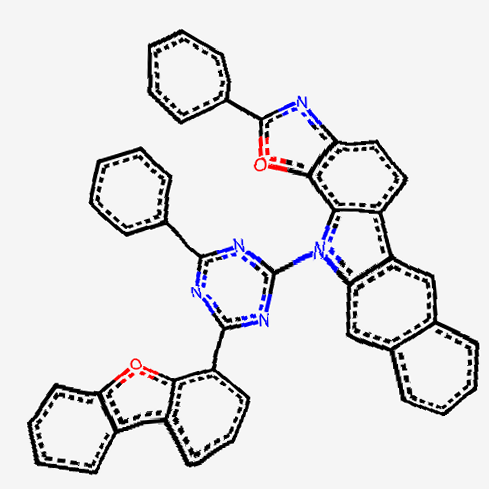 c1ccc(-c2nc(-c3cccc4c3oc3ccccc34)nc(-n3c4cc5ccccc5cc4c4ccc5nc(-c6ccccc6)oc5c43)n2)cc1